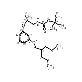 CCCC(CCC)COc1cccc(OC(C)CNC(=O)OC(C)(C)C)c1